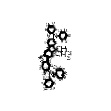 CC1(C)c2cc(N(c3ccccc3)c3ccccc3)ccc2-c2cc3sc4ccc(N(c5ccccc5)c5ccccc5)cc4c3cc21